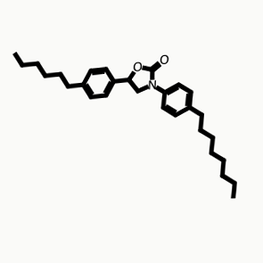 CCCCCCCCc1ccc(N2CC(c3ccc(CCCCCC)cc3)OC2=O)cc1